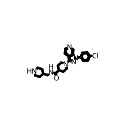 O=C(NCC1CCNCC1)C1CCN(c2nn(-c3ccc(Cl)cc3)c3cnccc23)CC1